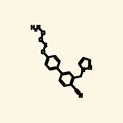 N#Cc1ccc(-c2ccc(OSOON)cc2)cc1Cn1cccn1